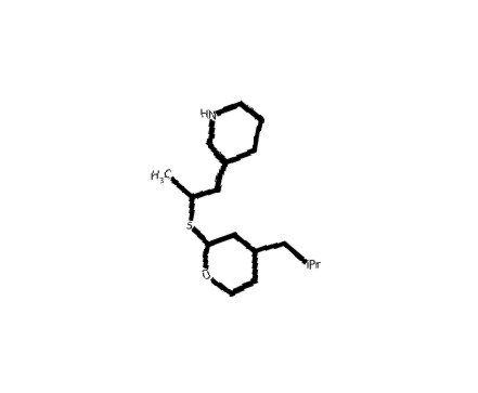 CC(C)CC1CCOC(SC(C)CC2CCCNC2)C1